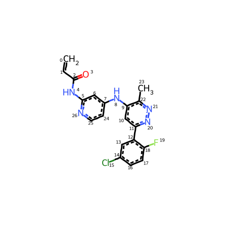 C=CC(=O)Nc1cc(Nc2cc(-c3cc(Cl)ccc3F)nnc2C)ccn1